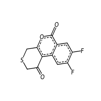 O=C1CSCc2oc(=O)c3cc(F)c(F)cc3c21